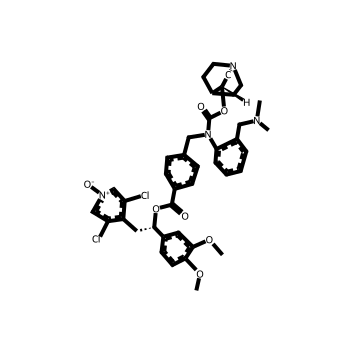 COc1ccc([C@H](Cc2c(Cl)c[n+]([O-])cc2Cl)OC(=O)c2ccc(CN(C(=O)O[C@H]3CN4CCC3CC4)c3ccccc3CN(C)C)cc2)cc1OC